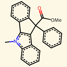 COC(=O)C1(c2ccccc2)c2ccccc2-c2c1c1ccccc1n2C